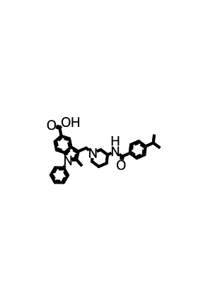 Cc1c(CN2CCCC(NC(=O)c3ccc(C(C)C)cc3)C2)c2cc(C(=O)O)ccc2n1-c1ccccc1